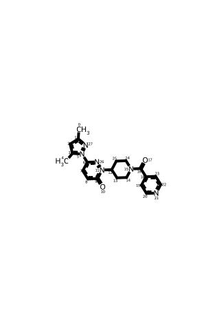 Cc1cc(C)n(-c2ccc(=O)n(C3CCN(C(=O)c4ccncc4)CC3)n2)n1